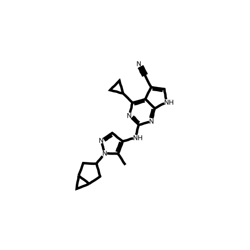 Cc1c(Nc2nc(C3CC3)c3c(C#N)c[nH]c3n2)cnn1C1CC2CC2C1